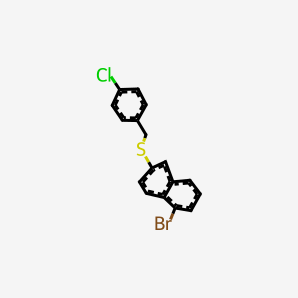 Clc1ccc(CSc2ccc3c(Br)cccc3c2)cc1